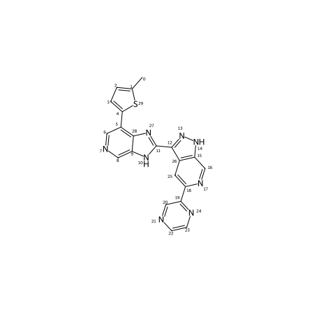 Cc1ccc(-c2cncc3[nH]c(-c4n[nH]c5cnc(-c6cnccn6)cc45)nc23)s1